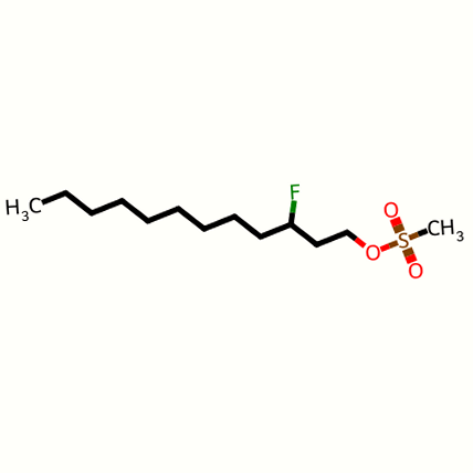 CCCCCCCCCC(F)CCOS(C)(=O)=O